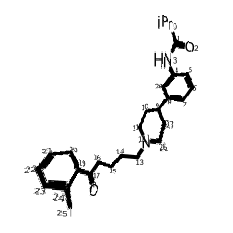 CC(C)C(=O)Nc1cccc(C2CCN(CCCCC(=O)c3ccccc3I)CC2)c1